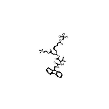 CC(C)[C@H](NC(=O)OCC1c2ccccc2-c2ccccc21)C(=O)O[C@H](C/C=C\CCC(=O)OCC(Cl)(Cl)Cl)CC(=O)OCC[Si](C)(C)C